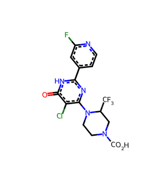 O=C(O)N1CCN(c2nc(-c3ccnc(F)c3)[nH]c(=O)c2Cl)C(C(F)(F)F)C1